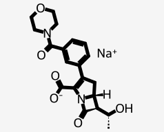 C[C@@H](O)[C@H]1C(=O)N2C(C(=O)[O-])=C(c3cccc(C(=O)N4CCOCC4)c3)C[C@H]12.[Na+]